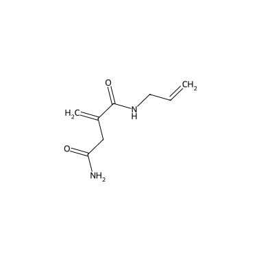 C=CCNC(=O)C(=C)CC(N)=O